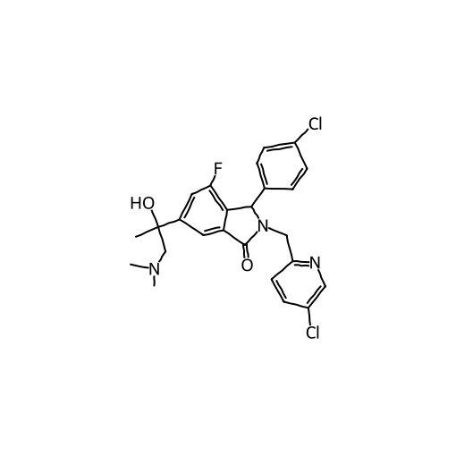 CN(C)CC(C)(O)c1cc(F)c2c(c1)C(=O)N(Cc1ccc(Cl)cn1)C2c1ccc(Cl)cc1